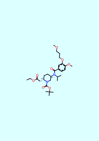 CCOC(=O)C[C@@H]1CC[C@@H](N(C(=O)c2ccc(OC)c(OCCCOC)c2)C(C)C)CN1C(=O)OC(C)(C)C